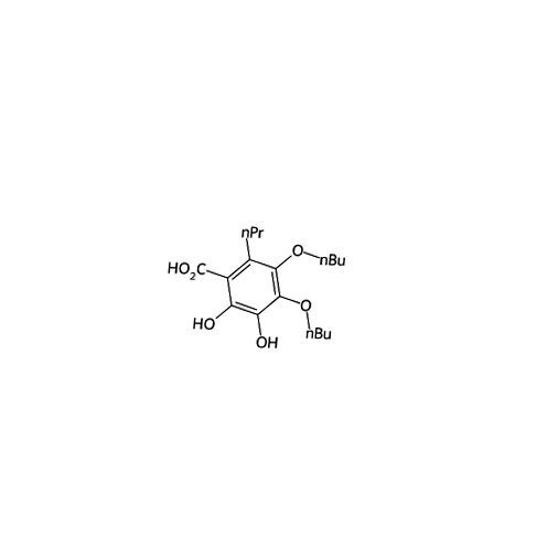 CCCCOc1c(O)c(O)c(C(=O)O)c(CCC)c1OCCCC